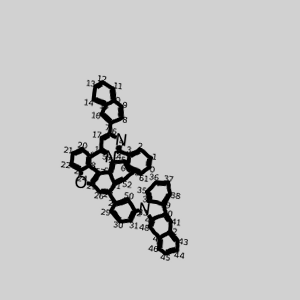 c1ccc(-c2nc(-c3ccc4ccccc4c3)cc(-c3cccc4oc5cc(-c6cccc(-n7c8ccccc8c8cc9ccccc9cc87)c6)c6ccccc6c5c34)n2)cc1